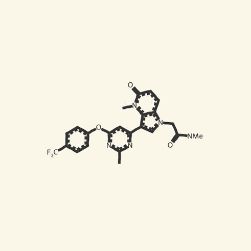 CNC(=O)Cn1cc(-c2cc(Oc3ccc(C(F)(F)F)cc3)nc(C)n2)c2c1ccc(=O)n2C